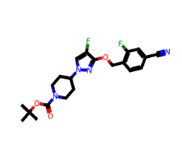 CC(C)(C)OC(=O)N1CCC(n2cc(F)c(OCc3ccc(C#N)cc3F)n2)CC1